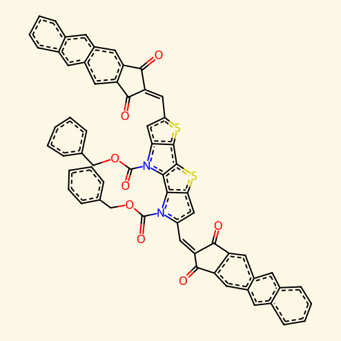 O=C1C(=Cc2cc3c(s2)c2sc4cc(C=C5C(=O)c6cc7cc8ccccc8cc7cc6C5=O)n(C(=O)OCc5ccccc5)c4c2n3C(=O)OCc2ccccc2)C(=O)c2cc3cc4ccccc4cc3cc21